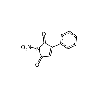 O=C1C=C(c2ccccc2)C(=O)N1[N+](=O)[O-]